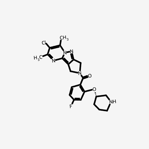 Cc1nc2c3c(nn2c(C)c1Cl)CN(C(=O)c1ccc(F)cc1O[C@H]1CCCNC1)C3